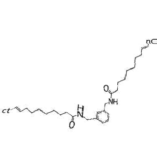 CCCCCCCCC=CCCCCCCCC(=O)NCc1cccc(CNC(=O)CCCCCCCC=CCCCCCCCC)c1